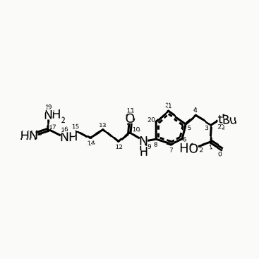 C=C(O)C(Cc1ccc(NC(=O)CCCCNC(=N)N)cc1)C(C)(C)C